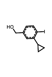 OCc1ccc(I)c(C2CC2)c1